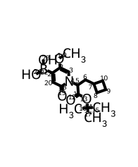 COc1cn(C(CC2CCC2)C(=O)OC(C)(C)C)c(=O)cc1B(O)O